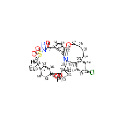 CC[C@@H]1CS(=O)(=O)NC(=O)c2ccc3c(c2)N(Cc2ccc(Cl)cc2CCCCO3)C[C@@H]2CC[C@H]2C2(O)C=CC1CC2